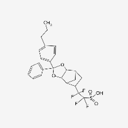 CCCc1ccc(C2(c3ccccc3)OC3C4CC(C3O2)C(C(F)(F)C(F)(F)S(=O)(=O)O)C4)cc1